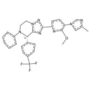 COc1nc(-c2nc3n(n2)CCN(c2ccccc2)[C@H]3c2ccc(C(F)(F)F)cc2)ccc1-n1cnc(C)c1